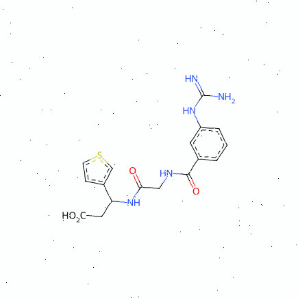 N=C(N)Nc1cccc(C(=O)NCC(=O)NC(CC(=O)O)c2ccsc2)c1